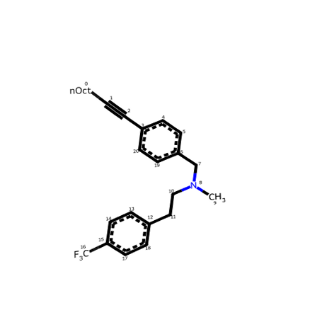 CCCCCCCCC#Cc1ccc(CN(C)CCc2ccc(C(F)(F)F)cc2)cc1